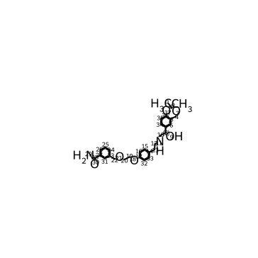 CC1(C)OCc2cc([C@H](O)CNCCc3ccc(OCCOCc4cccc(C(N)=O)c4)cc3)ccc2O1